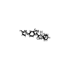 Cc1ccn(-c2ccc3c(C(=O)N[C@@H]4CN5CCC4CC5)nsc3c2)n1